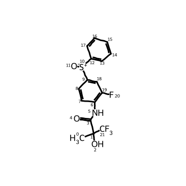 CC(O)(C(=O)Nc1ccc([S+]([O-])c2ccccc2)cc1F)C(F)(F)F